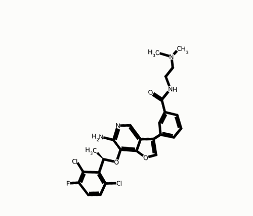 C[C@@H](Oc1c(N)ncc2c(-c3cccc(C(=O)NCCN(C)C)c3)coc12)c1c(Cl)ccc(F)c1Cl